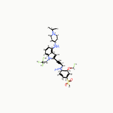 CC(C)N1CCC(Nc2cccc3c2cc(C#CCNc2ccc(S(C)(=O)=O)cc2OCF)n3CC(F)(F)F)CC1